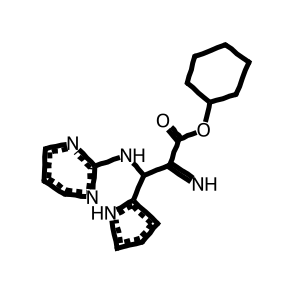 N=C(C(=O)OC1CCCCC1)C(Nc1ncccn1)c1ccc[nH]1